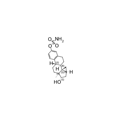 C[C@]12CC[C@@H]3c4ccc(OS(N)(=O)=O)cc4CC[C@H]3[C@@]13C[C@H]3C[C@@H]2O